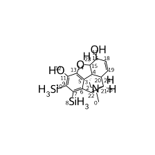 CN1CC[C@]23c4c5c([SiH3])c([SiH3])c(O)c4O[C@H]2[C@@H](O)C=C[C@H]3[C@H]1C5